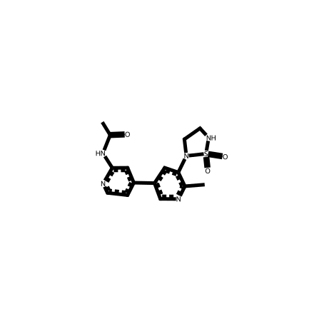 CC(=O)Nc1cc(-c2cnc(C)c(N3CCNS3(=O)=O)c2)ccn1